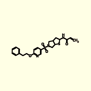 C=CC(=O)NC1CC2CN(S(=O)(=O)c3ccc(OCCc4ccccc4)nc3)CC2S1